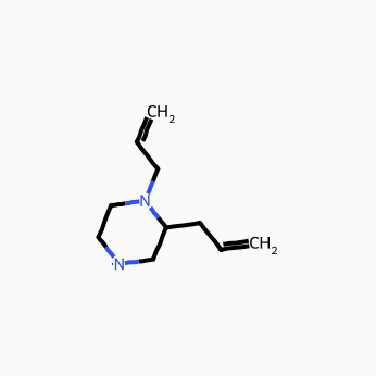 C=CCC1C[N]CCN1CC=C